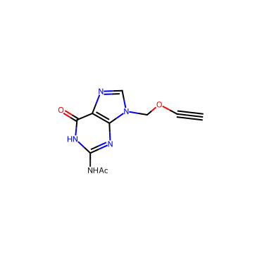 C#COCn1cnc2c(=O)[nH]c(NC(C)=O)nc21